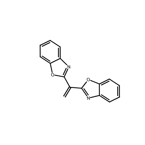 C=C(c1nc2ccccc2o1)c1nc2ccccc2o1